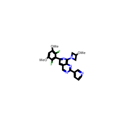 COc1cc(OC)c(F)c(-c2cc3cnc(-c4cccnc4)nc3c(N3CC(OC)C3)n2)c1F